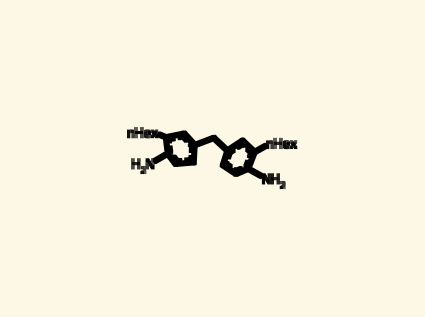 CCCCCCc1cc(Cc2ccc(N)c(CCCCCC)c2)ccc1N